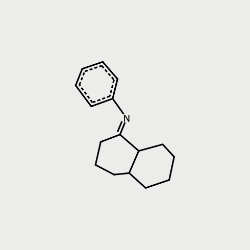 c1ccc(N=C2CCCC3CCCCC23)cc1